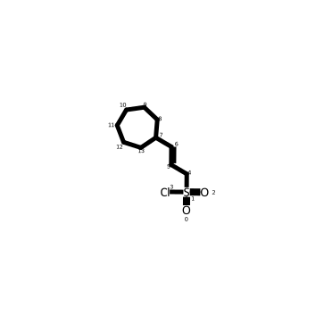 O=S(=O)(Cl)CC=CC1CCCCCC1